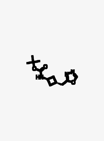 CC(C)(C)OC(=O)N[C@H]1C[C@H](Cc2nnco2)C1